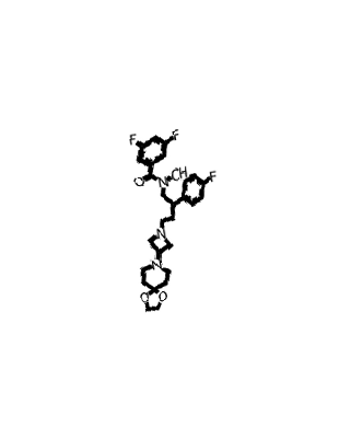 CN(CC(CCN1CC(N2CCC3(CC2)OCCO3)C1)c1ccc(F)cc1)C(=O)c1cc(F)cc(F)c1